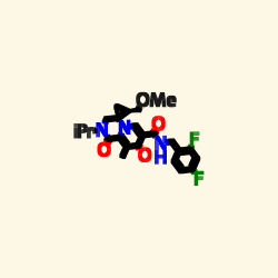 COC[C@@H]1C[C@@]12CN(C(C)C)C(=O)c1c(C)c(=O)c(C(=O)NCc3ccc(F)cc3F)cn12